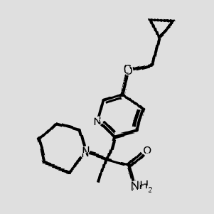 CC(C(N)=O)(c1ccc(OCC2CC2)cn1)N1CCCCC1